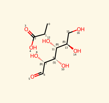 CCC(=O)O.O=C[C@H](O)[C@@H](O)[C@H](O)[C@H](O)CO